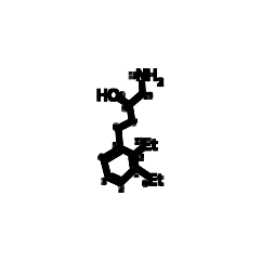 CCc1cccc(CCC(O)CN)c1CC